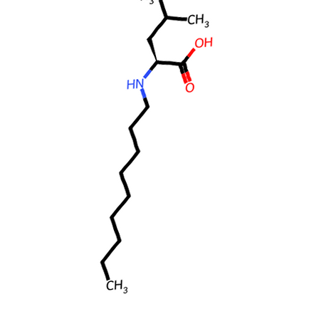 CCCCCCCCCN[C@@H](CC(C)C)C(=O)O